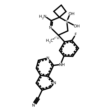 C[C@@]1(c2cc(Nc3nccc4cc(C#N)cnc34)ccc2F)CS(O)(O)C2(CCC2)C(N)=N1